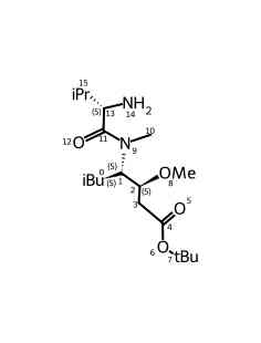 CC[C@H](C)[C@@H]([C@H](CC(=O)OC(C)(C)C)OC)N(C)C(=O)[C@@H](N)C(C)C